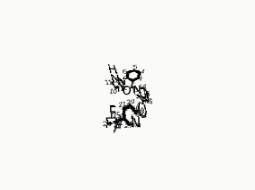 O=C(c1ccccc1N1N=CCN1)N1CC2CC(Oc3ccc(C(F)(F)F)cn3)C1C2